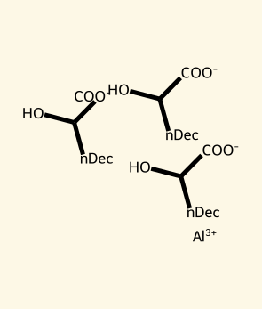 CCCCCCCCCCC(O)C(=O)[O-].CCCCCCCCCCC(O)C(=O)[O-].CCCCCCCCCCC(O)C(=O)[O-].[Al+3]